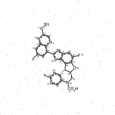 CCOc1cnc2c(-c3nc4cc(F)c5c(c4s3)C[C@H](CN(C(=O)O)c3cnc(C)nc3)O5)cc(C)cc2n1